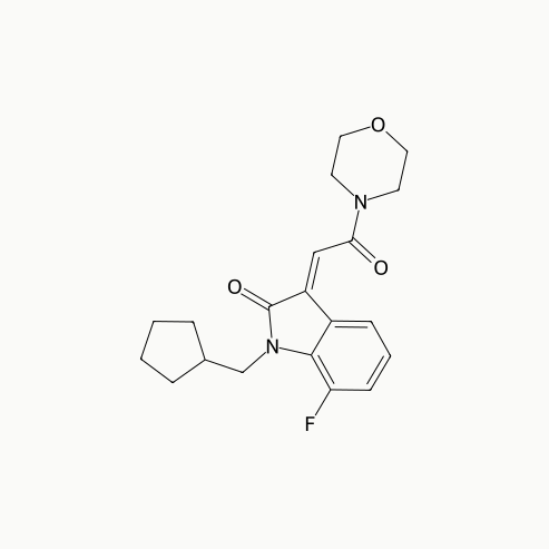 O=C(/C=C1/C(=O)N(CC2CCCC2)c2c(F)cccc21)N1CCOCC1